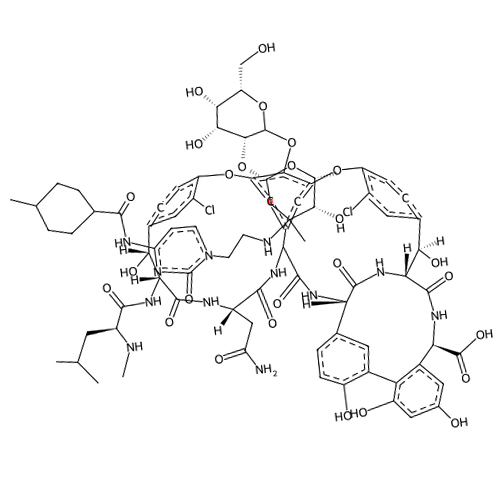 CN[C@@H](CC(C)C)C(=O)N[C@H]1C(=O)N[C@@H](CC(N)=O)C(=O)NC2C(=O)N[C@@H]3C(=O)N[C@@H](C(=O)N[C@@H](C(=O)O)c4cc(O)cc(O)c4-c4cc3ccc4O)[C@H](O)c3ccc(c(Cl)c3)Oc3cc2cc(c3OC2O[C@@H](CO)[C@@H](O)[C@@H](O)[C@H]2O[C@H]2CC(C)(NCCn3ccc(NC(=O)C4CCC(C)CC4)nc3=O)[C@@H](O)[C@@H](C)O2)Oc2ccc(cc2Cl)[C@H]1O